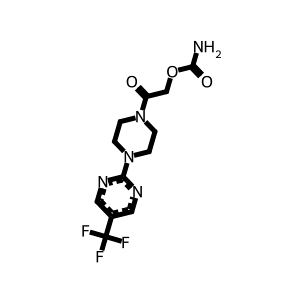 NC(=O)OCC(=O)N1CCN(c2ncc(C(F)(F)F)cn2)CC1